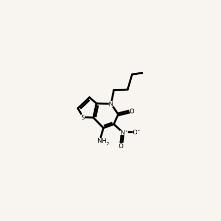 CCCCn1c(=O)c([N+](=O)[O-])c(N)c2sccc21